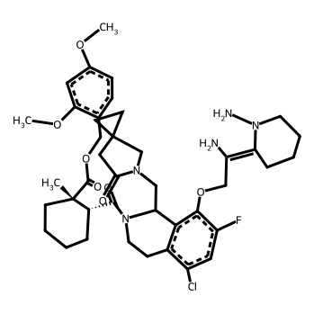 COc1ccc(COC(=O)[C@@]2(C)CCCC[C@H]2C(=O)N2CCc3c(Cl)cc(F)c(OC/C(N)=C4\CCCCN4N)c3C2CN2CC3(CC3)CC2=O)c(OC)c1